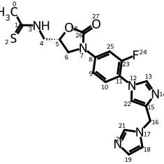 CC(=S)NC[C@H]1CN(c2ccc(-n3cnc(Cn4ccnc4)c3)c(F)c2)C(=O)O1